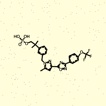 Cc1cc(-c2nc(-c3ccc(OC(F)(F)F)cc3)no2)nn1Cc1cccc(C(C)(C)COP(=O)(O)O)c1